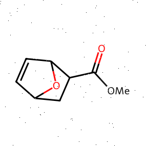 COC(=O)C1CC2C=CC1O2